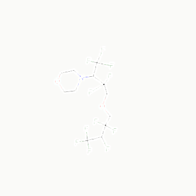 FC(C(F)(F)F)C(F)(F)COCC(F)(F)C(N1CCOCC1)C(F)(F)F